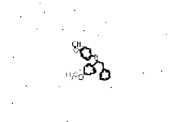 COc1ccc(N=C(Cc2ccccc2)c2ccc(OC)cc2)cc1